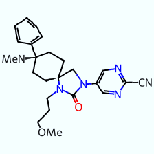 CN[C@]1(c2ccccc2)CC[C@@]2(CC1)CN(c1cnc(C#N)nc1)C(=O)N2CCCOC